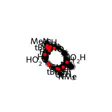 CCCN(C(=O)[C@@H](NC(=O)[C@H](C)NC)C(C)(C)C)[C@@H]1C(=O)N[C@@H](Cc2ccc3ccccc3c2)C(=O)N[C@H](C(=O)O)Cc2ccc(cc2)OCc2cn(nn2)[C@@H]2CCN(C(=O)[C@@H](NC(=O)[C@H](C)NC)C(C)(C)C)[C@@H]2C(=O)N[C@@H](Cc2ccc3ccccc3c2)C(=O)N[C@H](C(=O)O)Cc2ccc(cc2)OCc2cn1nn2